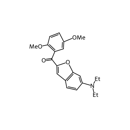 CCN(CC)c1ccc2cc(C(=O)c3cc(OC)ccc3OC)oc2c1